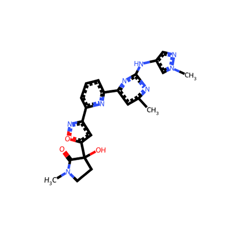 Cc1cc(-c2cccc(-c3cc(C4(O)CCN(C)C4=O)on3)n2)nc(Nc2cnn(C)c2)n1